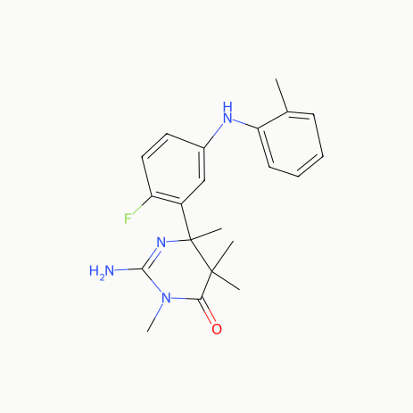 Cc1ccccc1Nc1ccc(F)c(C2(C)N=C(N)N(C)C(=O)C2(C)C)c1